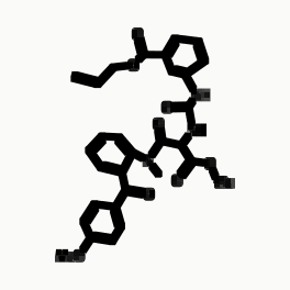 C=CCOC(=O)c1cccc(NC(=O)NC(C(=O)OC(C)(C)C)C(=O)N(C)c2ccccc2C(=O)c2ccc(OC)cc2)c1